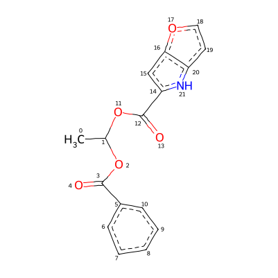 CC(OC(=O)c1ccccc1)OC(=O)c1cc2occc2[nH]1